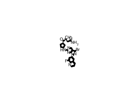 CN(CC(N)=O)C(=O)[C@@H]1CC[C@@H](Nc2ncc3c(Br)nn(-c4cc(F)c5ncccc5c4)c3n2)C1